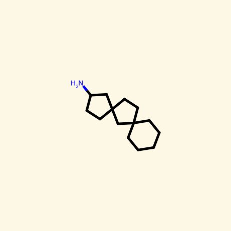 NC1CCC2(CCC3(CCCCC3)C2)C1